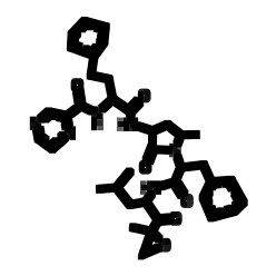 CC(C)CC(NC(=O)C(Cc1ccccc1)N1C(=O)C(NC(=O)C(CCc2ccccc2)NC(=O)c2cnccn2)CC1C)C(=O)C1(C)CO1